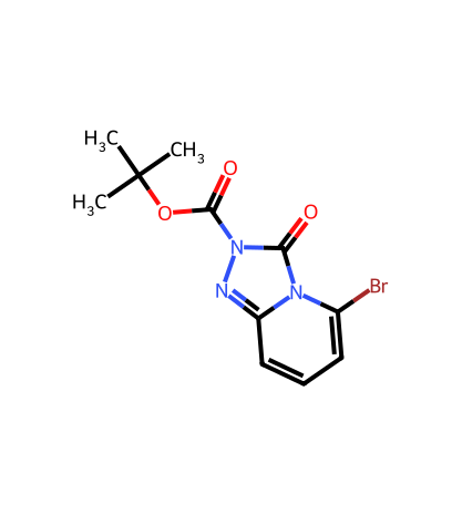 CC(C)(C)OC(=O)n1nc2cccc(Br)n2c1=O